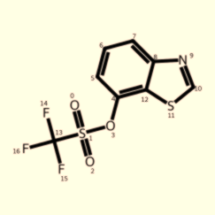 O=S(=O)(Oc1cccc2ncsc12)C(F)(F)F